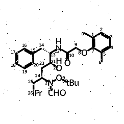 Cc1cccc(C)c1OCC(=O)N[C@@H](Cc1ccccc1)[C@@H](O)C[C@H](CC(C)C)N(C=O)OC(C)(C)C